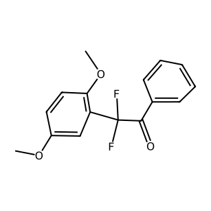 COc1ccc(OC)c(C(F)(F)C(=O)c2ccccc2)c1